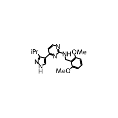 COc1cccc(OC)c1CNc1nccc(-c2c[nH]nc2C(C)C)n1